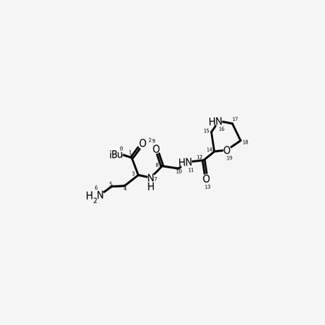 CCC(C)C(=O)C(CCN)NC(=O)CNC(=O)C1CNCCO1